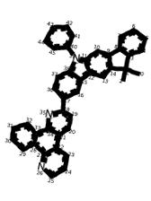 CC1(C)c2ccccc2-c2cc3c(cc21)c1cc(-c2ccc4c5cccnc5c5ccccc5c4n2)ccc1n3-c1ccccc1